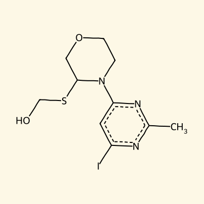 Cc1nc(I)cc(N2CCOCC2SCO)n1